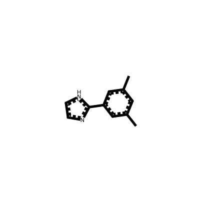 Cc1cc(C)cc(-c2ncc[nH]2)c1